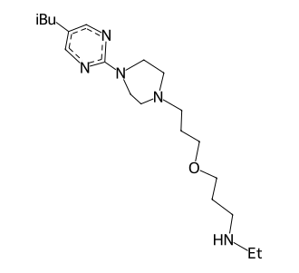 CCNCCCOCCCN1CCN(c2ncc(C(C)CC)cn2)CC1